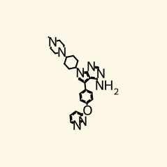 CN1CCN([C@H]2CC[C@H](n3cc(-c4ccc(Oc5cccnn5)cc4)c4c(N)ncnc43)CC2)CC1